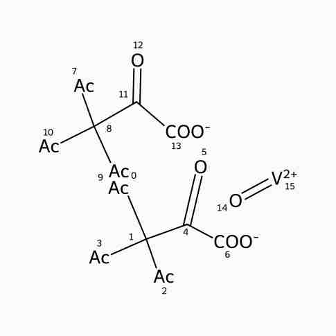 CC(=O)C(C(C)=O)(C(C)=O)C(=O)C(=O)[O-].CC(=O)C(C(C)=O)(C(C)=O)C(=O)C(=O)[O-].[O]=[V+2]